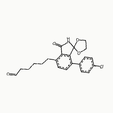 O=CCCCCCc1ccc(-c2ccc(Cl)cc2)c2c1C(=O)NC21OCCO1